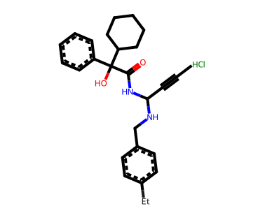 CC#CC(NCc1ccc(CC)cc1)NC(=O)C(O)(c1ccccc1)C1CCCCC1.Cl